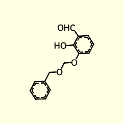 O=Cc1cccc(OCOCc2ccccc2)c1O